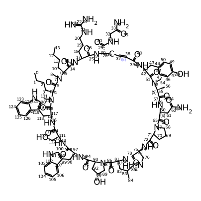 CCCC[C@H]1C(=O)N(C)[C@@H](CCCC)C(=O)NC(CCCNC(=N)N)C(=O)N[C@H](C(=O)NCC(N)=O)C/C=C/C(=O)N[C@@H](Cc2ccc(O)cc2)C(=O)N(C)[C@@H](C)C(=O)N[C@@H](CC(N)=O)C(=O)N2CCCC2C(=O)N[C@@H](CN)C(=O)N[C@@H](CC(C)C)C(=O)N2C[C@H](O)CC2C(=O)N[C@@H](Cc2c[nH]c3ccccc23)C(=O)N[C@@H](CO)C(=O)N[C@@H](Cc2c[nH]c3ccccc23)C(=O)N1C